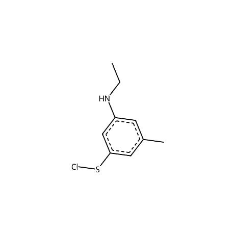 CCNc1cc(C)cc(SCl)c1